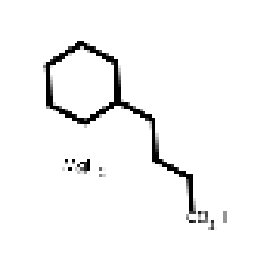 O=C(O)CCCC1CCCCC1.[MgH2]